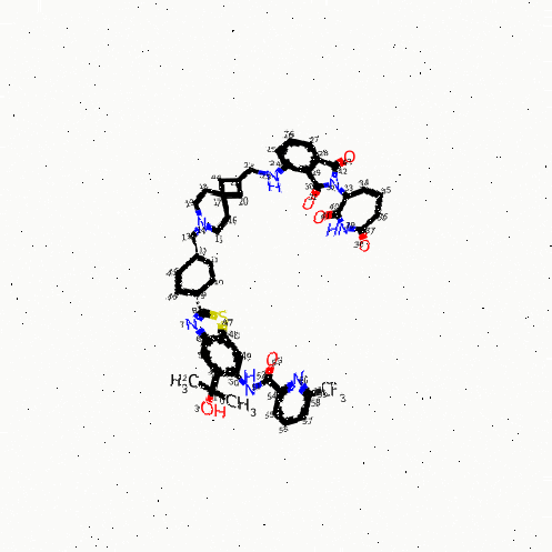 CC(C)(O)c1cc2nc([C@H]3CC[C@H](CN4CCC5(CC4)CC(CNc4cccc6c4C(=O)N(C4CCCC(=O)NC4=O)C6=O)C5)CC3)sc2cc1NC(=O)c1cccc(C(F)(F)F)n1